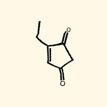 CCC1=CC(=O)CC1=O